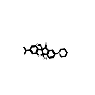 CC(C)c1ccc2c(c1)OC1(O)c3ccc(N4CCCCC4)cc3C(=O)C21N=O